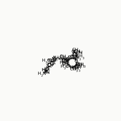 CC[C@H]1OC(=O)[C@H](C)[C@@H](O[C@H]2C[C@@](C)(OC)[C@@H](O)[C@H](C)O2)[C@H](C)[C@@H](O[C@H]2C[C@@H](N(C)CCc3cn([C@H](CF)[C@H](OC)c4ccc(N5C[C@@H]6[C@@H](N)[C@@H]6C5)cc4)nn3)C[C@@H](C)O2)[C@](C)(O)C[C@@H](C)CN(C)[C@H](C)[C@@H](O)[C@]1(C)O